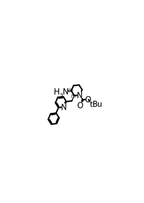 CC(C)(C)OC(=O)N1CCC[C@H](N)[C@@H]1Cc1cccc(-c2ccccc2)n1